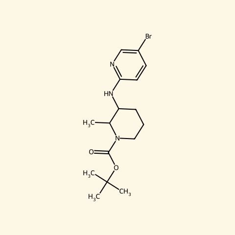 CC1C(Nc2ccc(Br)cn2)CCCN1C(=O)OC(C)(C)C